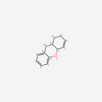 C1=CC2Oc3ccccc3CC2CC1